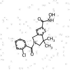 CC1(C)CN(C(=O)c2ccccc2Cl)Cc2cc(C(=O)NO)sc21